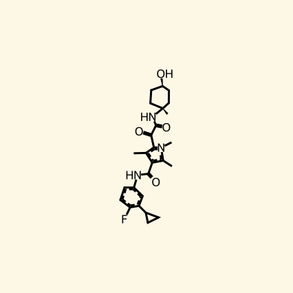 Cc1c(C(=O)Nc2ccc(F)c(C3CC3)c2)c(C)n(C)c1C(=O)C(=O)N[C@]1(C)CC[C@@H](O)CC1